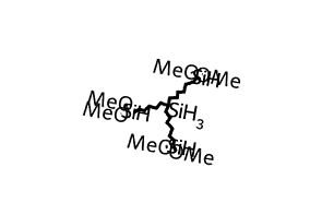 CO[SiH](CCCCCCC([SiH3])(CCCCCC[SiH](OC)OC)CCCCCC[SiH](OC)OC)OC